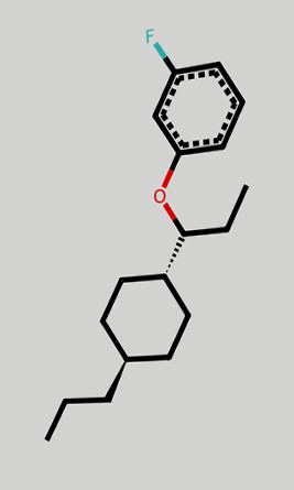 CCC[C@H]1CC[C@H](C(CC)Oc2cccc(F)c2)CC1